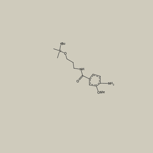 COc1cc(C(=O)NCCCO[Si](C)(C)C(C)(C)C)ccc1N